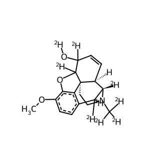 [2H]OC1([2H])C=C[C@@H]2[C@@]34CCN(C([2H])([2H])[2H])[C@]2([2H])C([2H])([2H])c2ccc(OC)c(c23)OC14[2H]